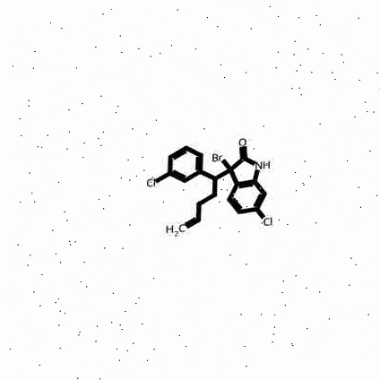 C=CCCC(c1cccc(Cl)c1)C1(Br)C(=O)Nc2cc(Cl)ccc21